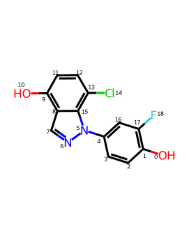 Oc1ccc(-n2ncc3c(O)ccc(Cl)c32)cc1F